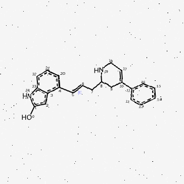 Oc1cc2c(/C=C/CC3CC(c4ccccc4)=CCN3)cccc2[nH]1